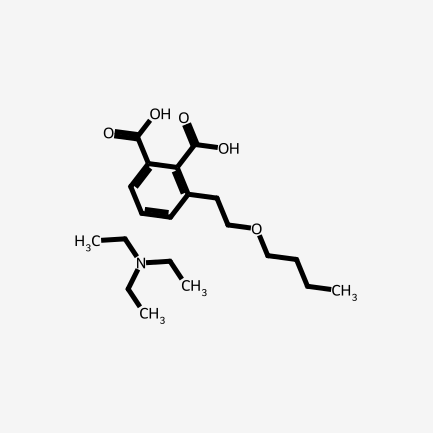 CCCCOCCc1cccc(C(=O)O)c1C(=O)O.CCN(CC)CC